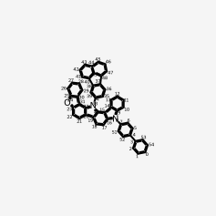 c1ccc(-c2ccc(-n3c4ccccc4c4c3ccc3c5ccc6oc7ccccc7c6c5n(-c5ccc6c(c5)-c5cccc7cccc-6c57)c34)cc2)cc1